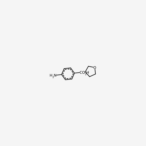 C1CCOC1.Nc1ccc(C(=O)O)cc1